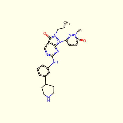 C=CCn1c(=O)c2cnc(Nc3cccc(C4CCNCC4)c3)nc2n1-c1ccc(=O)n(C(C)C)n1